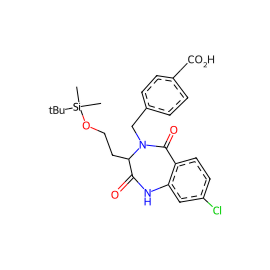 CC(C)(C)[Si](C)(C)OCCC1C(=O)Nc2cc(Cl)ccc2C(=O)N1Cc1ccc(C(=O)O)cc1